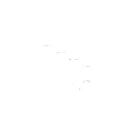 CN(C)CCNC(=O)CN(C)CC(=O)C(C)(C)C